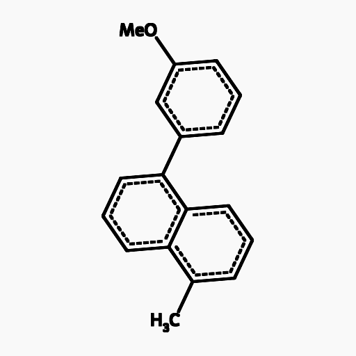 COc1cccc(-c2cccc3c(C)cccc23)c1